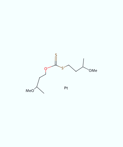 COC(C)CCOC(=S)SCCC(C)OC.[Pt]